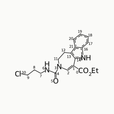 CCOC(=O)C1=CN(C(=O)NCCCCl)CCc2c1[nH]c1ccccc21